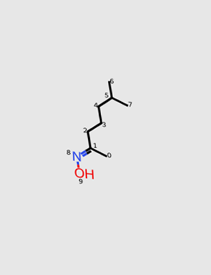 C/C(CCCC(C)C)=N\O